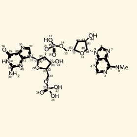 CNc1ncnc2c1ncn2[C@@H]1O[C@H](COP(=O)(O)O[C@@H]2[C@H](O)[C@@H](COP(=O)(O)O)O[C@H]2n2cnc3c(=O)[nH]c(N)nc32)C[C@H]1O